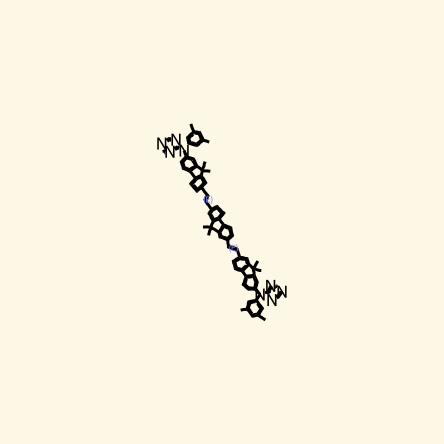 Cc1cc(C)cc(N(c2ccc3c(c2)C(C)(C)c2cc(/C=C/c4ccc5c(c4)C(C)(C)c4cc(/C=C/c6ccc7c(c6)C(C)(C)c6cc(N(c8cc(C)cc(C)c8)c8ncncn8)ccc6-7)ccc4-5)ccc2-3)c2ncncn2)c1